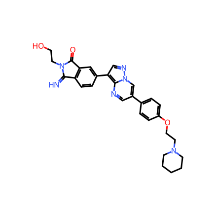 N=C1c2ccc(-c3cnn4cc(-c5ccc(OCCN6CCCCC6)cc5)cnc34)cc2C(=O)N1CCO